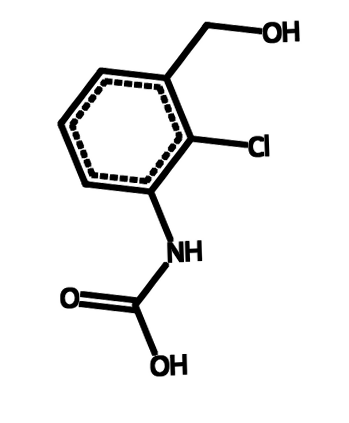 O=C(O)Nc1cccc(CO)c1Cl